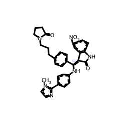 Cn1ccnc1-c1ccc(N/C(=C2\C(=O)Nc3ccc([N+](=O)[O-])cc32)c2ccc(CCCN3CCCC3=O)cc2)cc1